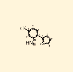 Clc1ccc(-c2cccs2)cc1.[NaH]